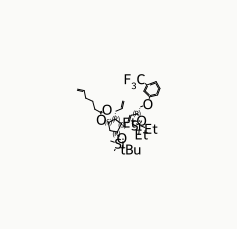 C=CCCCC(=O)O[C@H]1C[C@@H](O[Si](C)(C)C(C)(C)C)[C@@H](C=C[C@H](COc2cccc(C(F)(F)F)c2)O[Si](CC)(CC)CC)[C@H]1CC=C